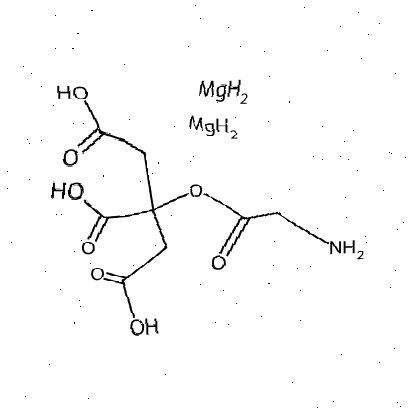 NCC(=O)OC(CC(=O)O)(CC(=O)O)C(=O)O.[MgH2].[MgH2]